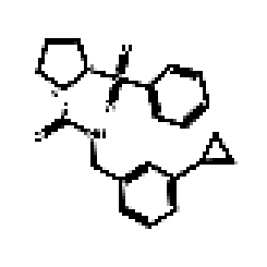 O=C(NCc1cccc(C2CC2)c1)[C@@H]1CCCN1S(=O)(=O)c1ccccc1